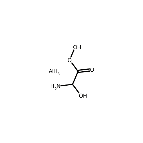 NC(O)C(=O)OO.[AlH3]